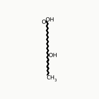 CCCCC=CCC=CCC(O)CCCCCCCCCCCCCCC(=O)O